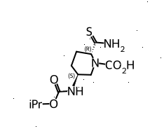 CC(C)OC(=O)N[C@H]1CC[C@H](C(N)=S)N(C(=O)O)C1